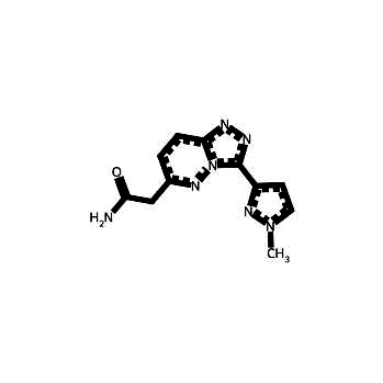 Cn1ccc(-c2nnc3ccc(CC(N)=O)nn23)n1